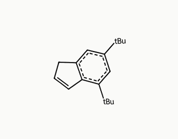 CC(C)(C)c1cc2c(c(C(C)(C)C)c1)C=CC2